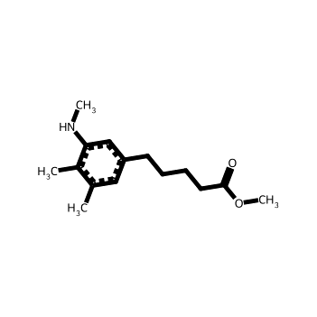 CNc1cc(CCCCC(=O)OC)cc(C)c1C